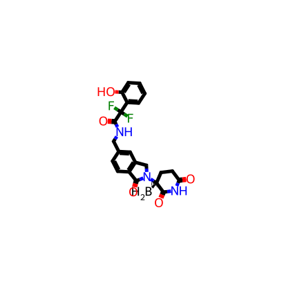 B[C@@]1(N2Cc3cc(CNC(=O)C(F)(F)c4ccccc4O)ccc3C2=O)CCC(=O)NC1=O